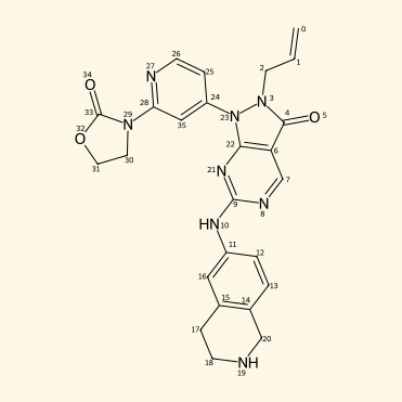 C=CCn1c(=O)c2cnc(Nc3ccc4c(c3)CCNC4)nc2n1-c1ccnc(N2CCOC2=O)c1